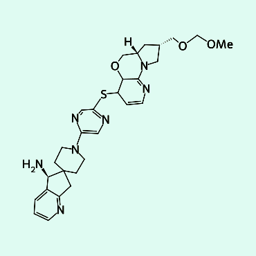 COCOC[C@H]1C[C@H]2COC3C(=NC=CC3Sc3cnc(N4CCC5(CC4)Cc4ncccc4[C@H]5N)cn3)N2C1